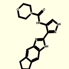 O=C(Nc1c[nH]nc1-c1nc2cc3c(cc2[nH]1)CCC3)N1CCOCC1